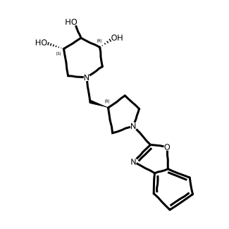 OC1[C@H](O)CN(C[C@H]2CCN(c3nc4ccccc4o3)C2)C[C@@H]1O